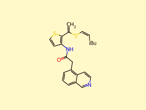 C=C(S/C=C\C(C)CC)c1sccc1NC(=O)Cc1cccc2cnccc12